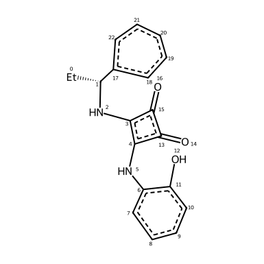 CC[C@@H](Nc1c(Nc2ccccc2O)c(=O)c1=O)c1ccccc1